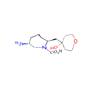 N[C@H]1CC[C@@H](CC2(O)CCOCC2)N(C(=O)O)C1